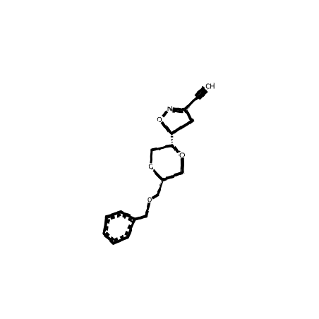 C#CC1=NOC([C@H]2CO[C@H](COCc3ccccc3)CO2)C1